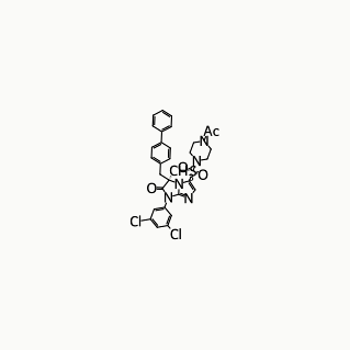 CC(=O)N1CCN(S(=O)(=O)c2cnc3n2[C@](C)(Cc2ccc(-c4ccccc4)cc2)C(=O)N3c2cc(Cl)cc(Cl)c2)CC1